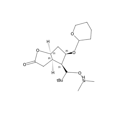 C[SiH](C)OC([C@H]1[C@H]2CC(=O)O[C@H]2C[C@H]1OC1CCCCO1)C(C)(C)C